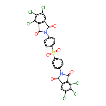 O=C1c2cc(Cl)c(Cl)c(Cl)c2C(=O)N1c1ccc(S(=O)(=O)c2ccc(N3C(=O)c4cc(Cl)c(Cl)c(Cl)c4C3=O)cc2)cc1